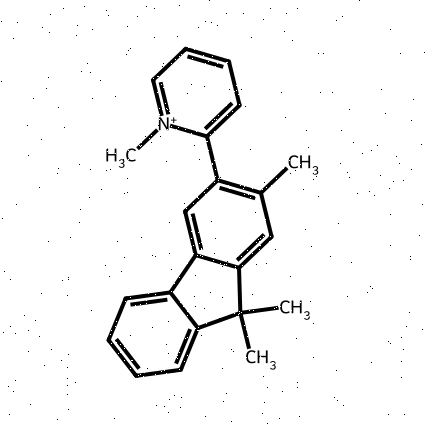 Cc1cc2c(cc1-c1cccc[n+]1C)-c1ccccc1C2(C)C